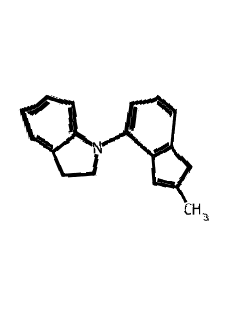 CC1=Cc2c(cccc2N2CCc3ccccc32)C1